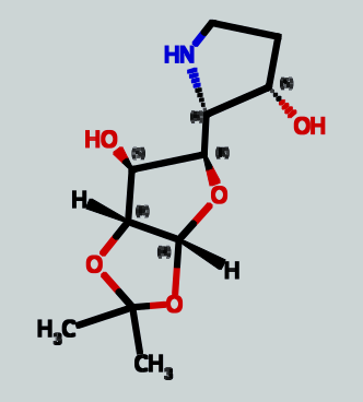 CC1(C)O[C@H]2O[C@H]([C@@H]3NCC[C@@H]3O)[C@H](O)[C@H]2O1